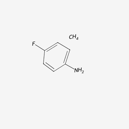 C.Nc1ccc(F)cc1